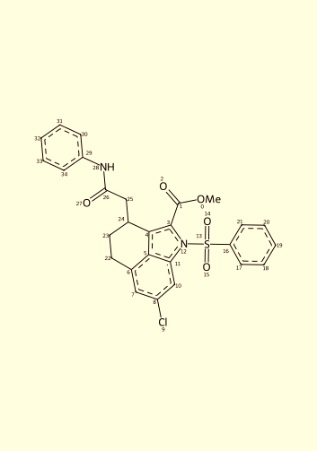 COC(=O)c1c2c3c(cc(Cl)cc3n1S(=O)(=O)c1ccccc1)CCC2CC(=O)Nc1ccccc1